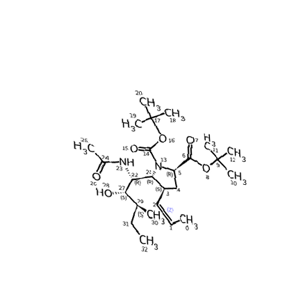 C/C=C\[C@@H]1C[C@H](C(=O)OC(C)(C)C)N(C(=O)OC(C)(C)C)[C@H]1[C@@H](NC(C)=O)[C@@H](O)[C@@H](C)CC